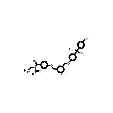 CCN(C(=N)c1ccc(OCc2cccc(COc3ccc(C(C)(C)c4ccc(O)cc4)cc3)c2)cc1)C(=O)O.Cl